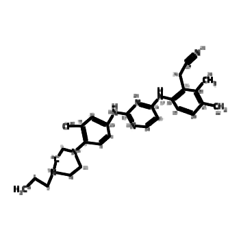 CCCN1CCN(c2ccc(Nc3nccc(Nc4ccc(C)c(C)c4CC#N)n3)cc2Cl)CC1